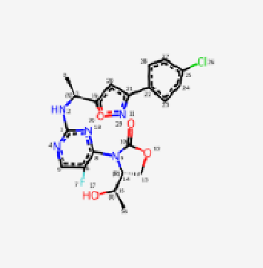 C[C@H](Nc1ncc(F)c(N2C(=O)OC[C@@H]2[C@@H](C)O)n1)c1cc(-c2ccc(Cl)cc2)no1